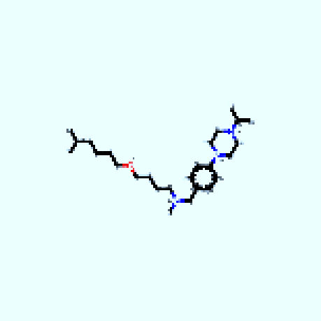 CC(C)CCCCOCCCCN(C)Cc1ccc(N2CCN(C(C)C)CC2)cc1